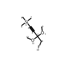 COC(C#C[Si](C)(C)C)(CF)OC